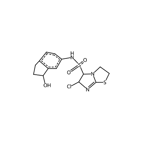 O=S(=O)(Nc1ccc2c(c1)C(O)CC2)C1C(Cl)N=C2SCCN21